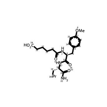 COc1ccc(C[C@H](NC(=O)CCCCC(=O)O)C(=O)N[C@@H](CC(C)C)C(N)=O)cc1